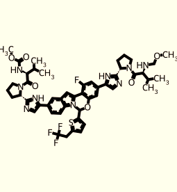 COCN[C@H](C(=O)N1CCC[C@H]1c1ncc(-c2cc(F)c3c(c2)OC(c2ccc(CC(F)(F)F)s2)n2c-3cc3cc(-c4cnc([C@@H]5CCCN5C(=O)[C@@H](NC(=O)OC)C(C)C)[nH]4)ccc32)[nH]1)C(C)C